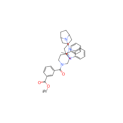 Cc1nc2ccccc2n1C1CC2CCC(C1)N2CCC1(c2ccccc2)CCN(C(=O)c2cccc(C(=O)OC(C)C)c2)CC1